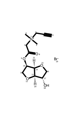 C#CC[N+](C)(C)CC(=O)O[C@@H]1CO[C@H]2[C@@H]1OC[C@@H]2O.[Br-]